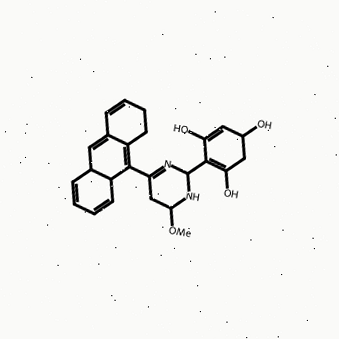 COC1CC(C2=C3CCC=CC3=CC3C=CC=CC23)=NC(C2=C(O)CC(O)C=C2O)N1